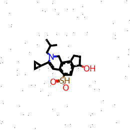 CC(C)CN1Cc2c(c([SH](=O)=O)cc3c2CCC3O)C=C1C1CC1